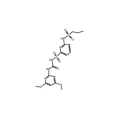 CCCS(=O)(=O)Nc1cccc(S(=O)(=O)NC(=O)Nc2nc(OC)cc(OC)n2)n1